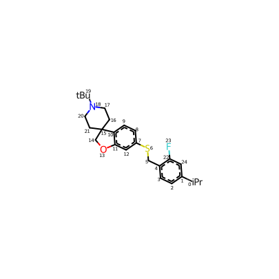 CC(C)c1ccc(CSc2ccc3c(c2)OCC32CCN(C(C)(C)C)CC2)c(F)c1